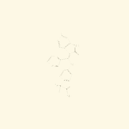 CC(N)(C(N)=O)c1ccc(N/C(=C2\C(=O)Nc3cc(Cl)ccc32)c2ccccc2)cc1